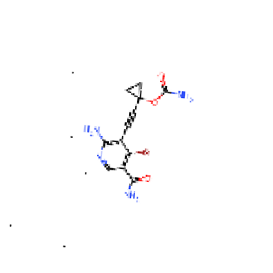 NC(=O)OC1(C#Cc2c(N)ncc(C(N)=O)c2Br)CC1